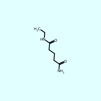 CCNC(=O)CCCC(N)=O